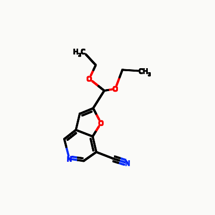 CCOC(OCC)c1cc2cncc(C#N)c2o1